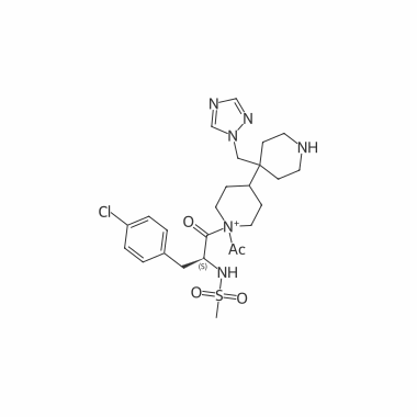 CC(=O)[N+]1(C(=O)[C@H](Cc2ccc(Cl)cc2)NS(C)(=O)=O)CCC(C2(Cn3cncn3)CCNCC2)CC1